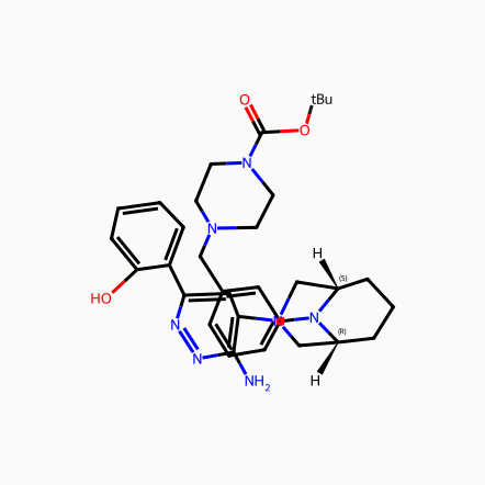 CC(C)(C)OC(=O)N1CCN(Cc2cccc(N3[C@@H]4CCC[C@H]3CN(c3cc(-c5ccccc5O)nnc3N)C4)c2)CC1